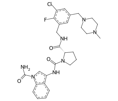 CN1CCN(Cc2cc(Cl)c(F)c(CNC(=O)[C@@H]3CCCN3C(=O)Nc3cn(C(N)=O)c4ccccc34)c2)CC1